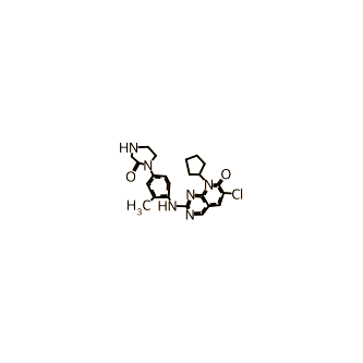 Cc1cc(N2CCNCC2=O)ccc1Nc1ncc2cc(Cl)c(=O)n(C3CCCC3)c2n1